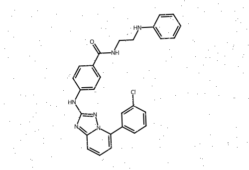 O=C(NCCNc1ccccc1)c1ccc(Nc2nc3cccc(-c4cccc(Cl)c4)n3n2)cc1